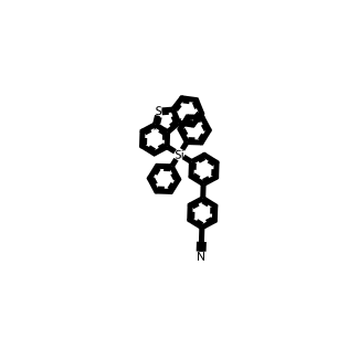 N#Cc1ccc(-c2cccc([Si](c3ccccc3)(c3ccccc3)c3cccc4sc5ccccc5c34)c2)cc1